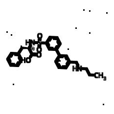 CCCNCc1cccc(-c2cccc(S(=O)(=O)N[C@H](Cc3ccccc3)C(=O)O)c2)c1